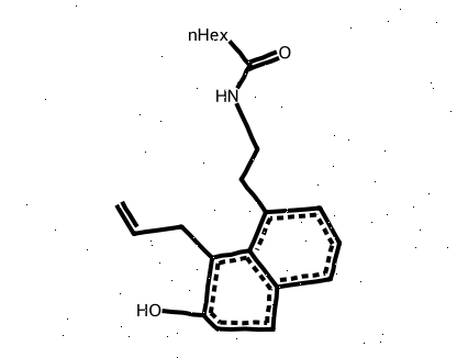 C=CCc1c(O)ccc2cccc(CCNC(=O)CCCCCC)c12